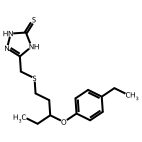 CCc1ccc(OC(CC)CCSCc2n[nH]c(=S)[nH]2)cc1